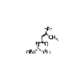 CCCCS(CCCC)=NC(=O)/C=C(\C)CCC